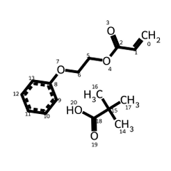 C=CC(=O)OCCOc1ccccc1.CC(C)(C)C(=O)O